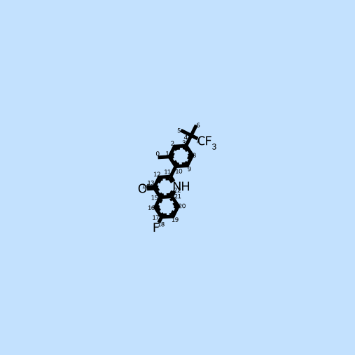 Cc1cc(C(C)(C)C(F)(F)F)ccc1-c1cc(=O)c2cc(F)ccc2[nH]1